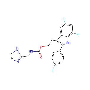 O=C(NCc1ncc[nH]1)OCCc1c(-c2ccc(F)cc2)[nH]c2c(F)cc(F)cc12